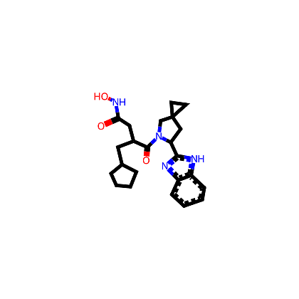 O=C(CC(CC1CCCC1)C(=O)N1CC2(CC2)CC1c1nc2ccccc2[nH]1)NO